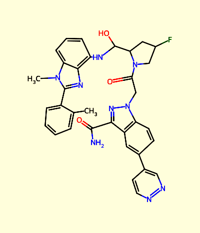 Cc1ccccc1-c1nc2c(NC(O)C3CC(F)CN3C(=O)Cn3nc(C(N)=O)c4cc(-c5ccnnc5)ccc43)cccc2n1C